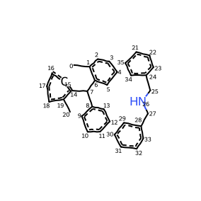 Cc1ccccc1C(c1ccccc1)c1ccccc1C.c1ccc(CNCc2ccccc2)cc1